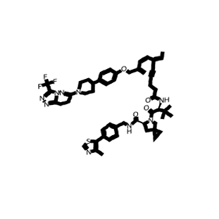 C=C(/C=C\C(C#CCCC(=O)N[C@H](C(=O)N1CC2(CC2)C[C@H]1C(=O)NCc1ccc(-c2scnc2C)cc1)C(C)(C)C)=C/C)COc1ccc(C2CCN(C3=Nn4c(nnc4C(F)(F)F)CC3)CC2)cc1